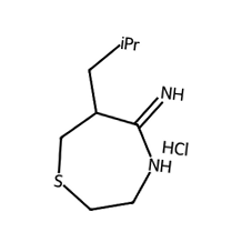 CC(C)CC1CSCCNC1=N.Cl